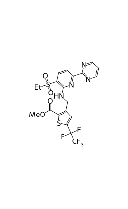 CCS(=O)(=O)c1ccc(-c2ncccn2)nc1NCc1cc(C(F)(F)C(F)(F)F)sc1C(=O)OC